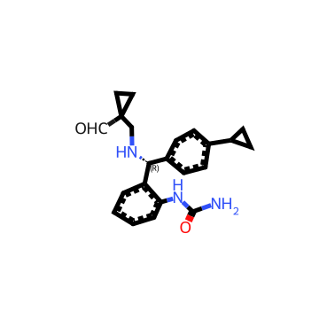 NC(=O)Nc1ccccc1[C@H](NCC1(C=O)CC1)c1ccc(C2CC2)cc1